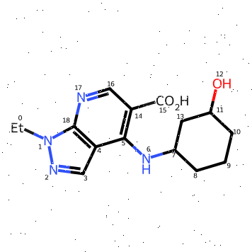 CCn1ncc2c(NC3CCCC(O)C3)c(C(=O)O)cnc21